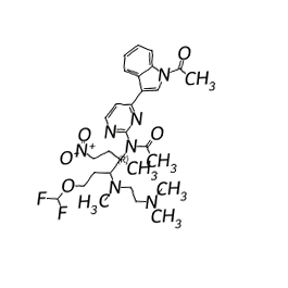 CC(=O)N(c1nccc(-c2cn(C(C)=O)c3ccccc23)n1)[C@](C)(CC[N+](=O)[O-])C(CCOC(F)F)N(C)CCN(C)C